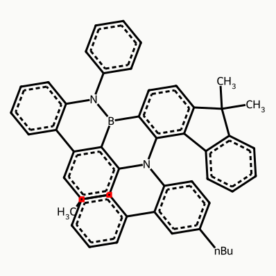 CCCCc1ccc(N2c3cc(C)cc4c3B(c3ccc5c(c32)-c2ccccc2C5(C)C)N(c2ccccc2)c2ccccc2-4)c(-c2ccccc2)c1